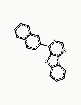 c1ccc2cc(-c3ncnc4c3oc3ccccc34)ccc2c1